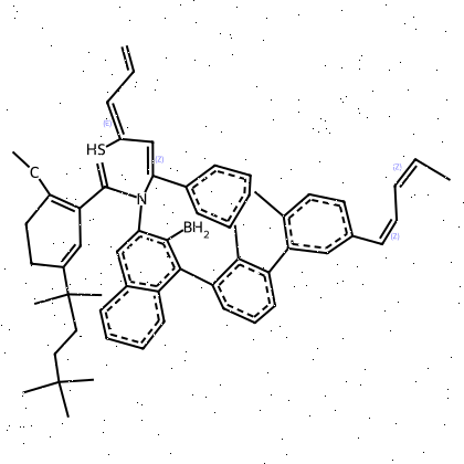 Bc1c(N(C(=C)C2=C(CC)CCC(C(C)(C)CCC(C)(C)C)=C2)/C(=C\C(S)=C/C=C)c2ccccc2)cc2ccccc2c1-c1cccc(-c2cc(/C=C\C=C/C)ccc2C)c1C